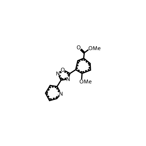 COC(=O)c1ccc(OC)c(-c2nc(-c3ccccn3)no2)c1